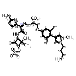 C[n+]1cc(-c2c(F)cc(OC[C@H](O/N=C(\C(=O)N[C@@H]3C(=O)N(OS(=O)(=O)[O-])C3(C)C)c3csc(N)n3)C(=O)O)cc2F)cn1CCCN